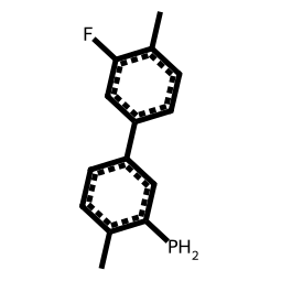 Cc1ccc(-c2ccc(C)c(P)c2)cc1F